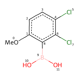 COc1ccc(Cl)c(Cl)c1B(O)O